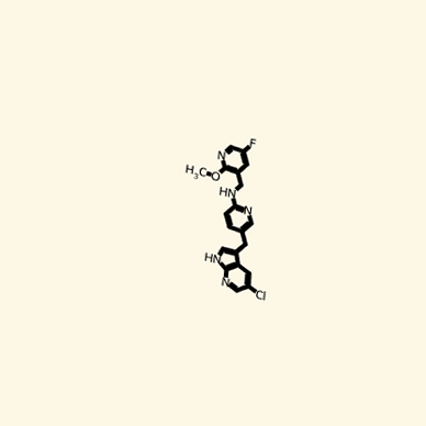 COc1ncc(F)cc1CNc1ccc(Cc2c[nH]c3ncc(Cl)cc23)cn1